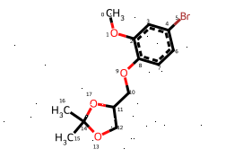 COc1cc(Br)ccc1OCC1COC(C)(C)O1